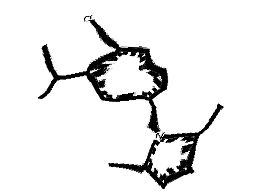 Cc1ccc(C)n1-c1ccc(Cl)c(C(C)C)c1